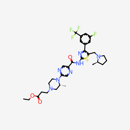 CCOC(=O)CCN1CCN(c2cnc(C(=O)Nc3nc(-c4cc(F)cc(C(F)(F)F)c4)c(CN4CCC[C@H]4C)s3)cn2)[C@H](C)C1